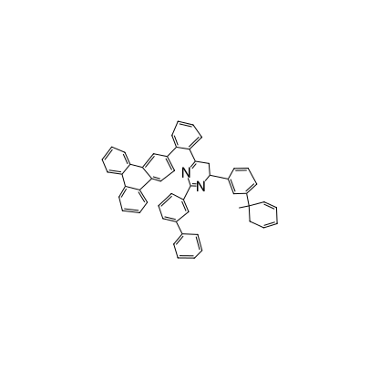 CC1(c2cccc(C3CC(c4ccccc4-c4ccc5c6ccccc6c6ccccc6c5c4)=NC(c4cccc(-c5ccccc5)c4)=N3)c2)C=CC=CC1